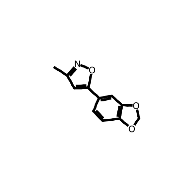 Cc1cc(-c2ccc3c(c2)OCO3)on1